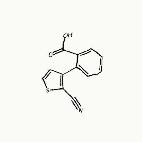 N#Cc1sccc1-c1ccccc1C(=O)O